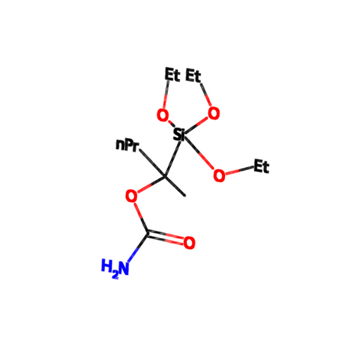 CCCC(C)(OC(N)=O)[Si](OCC)(OCC)OCC